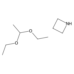 C1CNC1.CCOC(C)OCC